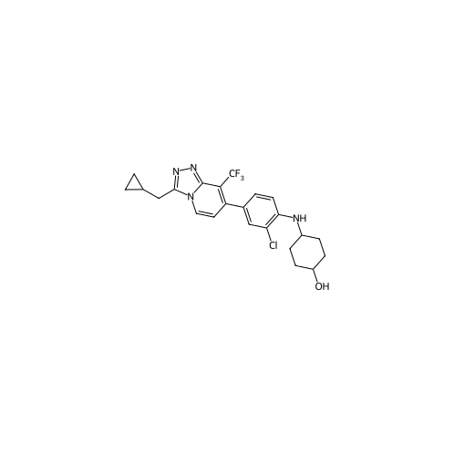 OC1CCC(Nc2ccc(-c3ccn4c(CC5CC5)nnc4c3C(F)(F)F)cc2Cl)CC1